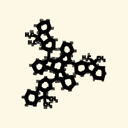 CC1(C)c2ccccc2-c2ccc(-n3c4ccccc4c4c3c3c5ccccc5n(-c5ccc6c(c5)C(C)(C)c5ccccc5-6)c3c3c5ccccc5n(-c5ccc6c(c5)C(C)(C)c5ccccc5-6)c43)cc21